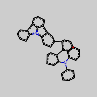 c1ccc(N(c2ccccc2)c2ccccc2-c2ccccc2-c2ccc3c(c2)c2cccc4c5ccccc5n3c42)cc1